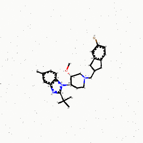 CO[C@@H]1CN(CC2Cc3ccc(Br)cc3C2)CC[C@H]1n1c(C(C)(C)C)nc2cc(C)ccc21